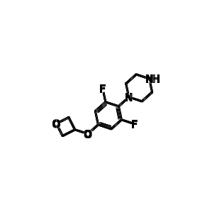 Fc1cc(OC2COC2)cc(F)c1N1CCNCC1